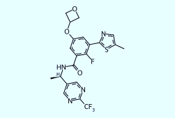 Cc1cnc(-c2cc(OC3COC3)cc(C(=O)N[C@H](C)c3cnc(C(F)(F)F)nc3)c2F)s1